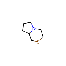 C1CC2CSCCN2C1